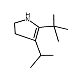 CC(C)C1=C(C(C)(C)C)NCC1